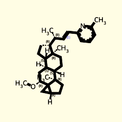 CO[C@@H]1C[C@H]2[C@@H]3CC[C@H]([C@H](C)/C=C/c4cccc(C)n4)[C@@]3(C)CC[C@@H]2[C@@]2(C)CC[C@@H]3CC312